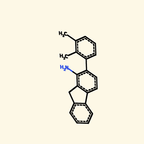 Cc1cccc(-c2ccc3c(c2N)Cc2ccccc2-3)c1C